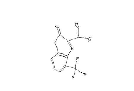 O=C1Cc2cccc(C(F)(F)F)c2N=C1C(Cl)Cl